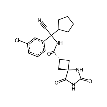 N#CC(NC(=O)[C@H]1C[C@@]2(C1)NC(=O)NC2=O)(c1cccc(Cl)c1)C1CCCC1